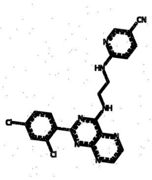 N#Cc1ccc(NCCNc2nc(-c3ccc(Cl)cc3Cl)nc3nccnc23)nc1